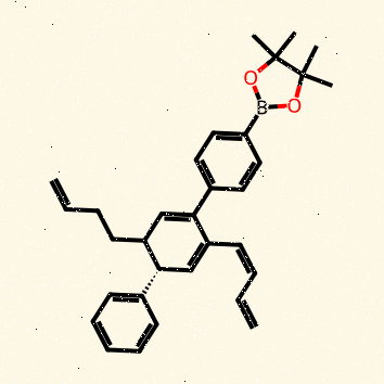 C=C/C=C\C1=C[C@H](c2ccccc2)C(CCC=C)C=C1c1ccc(B2OC(C)(C)C(C)(C)O2)cc1